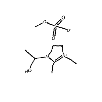 CC1=[N+](C)CCN1C(C)O.COS(=O)(=O)[O-]